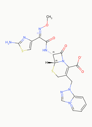 CO/N=C(\C(=O)N[C@@H]1C(=O)N2C(C(=O)[O-])=C(Cn3nc[n+]4ccccc34)CS[C@H]12)c1csc(N)n1